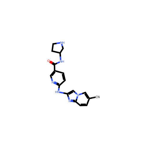 N#Cc1ccc2nc(Nc3ccc(C(=O)NC4CCNC4)cn3)cn2c1